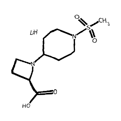 CS(=O)(=O)N1CCC(N2CCC2C(=O)O)CC1.[LiH]